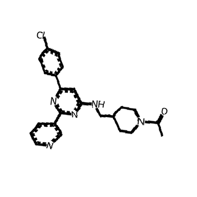 CC(=O)N1CCC(CNc2cc(-c3ccc(Cl)cc3)nc(-c3cccnc3)n2)CC1